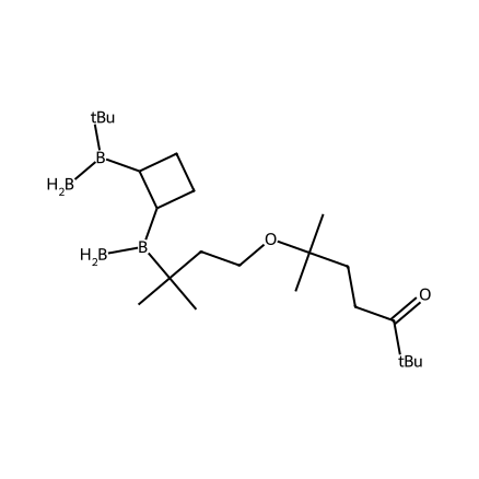 BB(C1CCC1B(B)C(C)(C)CCOC(C)(C)CCC(=O)C(C)(C)C)C(C)(C)C